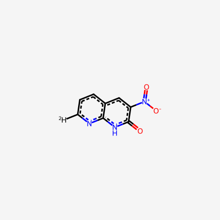 [2H]c1ccc2cc([N+](=O)[O-])c(=O)[nH]c2n1